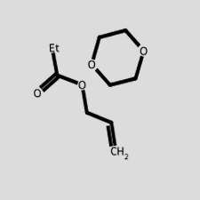 C1COCCO1.C=CCOC(=O)CC